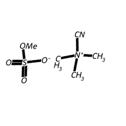 COS(=O)(=O)[O-].C[N+](C)(C)C#N